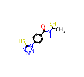 CC(S)NC(=O)c1ccc(-n2nnnc2S)cc1